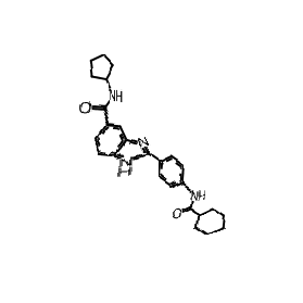 O=C(NC1CCCC1)c1ccc2[nH]c(-c3ccc(NC(=O)C4CCCCC4)cc3)nc2c1